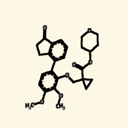 COc1ccc(-c2cccc3c2CCC3=O)c(OCC2(C(=O)OC3CCOCC3)CC2)c1OC